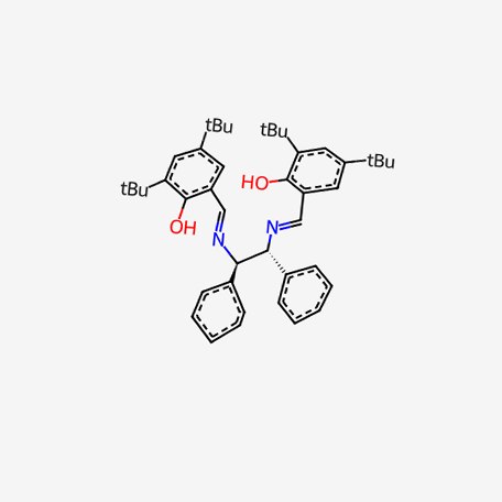 CC(C)(C)c1cc(/C=N/[C@H](c2ccccc2)[C@H](/N=C/c2cc(C(C)(C)C)cc(C(C)(C)C)c2O)c2ccccc2)c(O)c(C(C)(C)C)c1